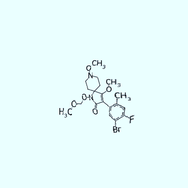 COCON1C(=O)C(c2cc(Br)c(F)cc2C)=C(OC)C12CCN(OC)CC2